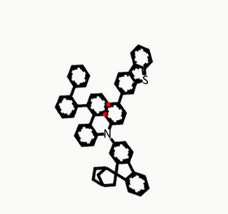 c1ccc(-c2ccccc2-c2ccccc2-c2ccccc2N(c2ccc(-c3ccc4c(c3)sc3ccccc34)cc2)c2ccc3c(c2)C2(CC4CCC2C4)c2ccccc2-3)cc1